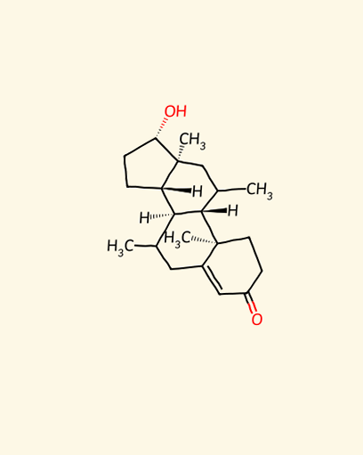 CC1CC2=CC(=O)CC[C@]2(C)[C@H]2C(C)C[C@]3(C)[C@@H](O)CC[C@H]3[C@H]12